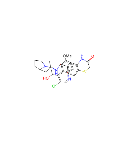 COc1ccc2ncc(Cl)c(C(O)CN3C4CCC3CC(NCc3ccc5c(c3)NC(=O)CS5)C4)c2c1